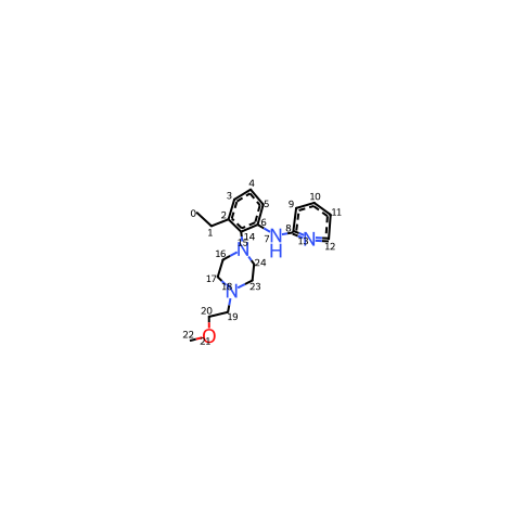 CCc1cccc(Nc2ccccn2)c1N1CCN(CCOC)CC1